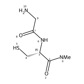 CNC(=O)[C@H](CS)NC(=O)CN